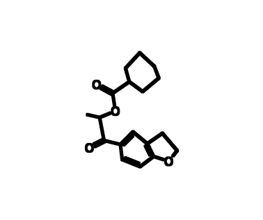 CC(OC(=O)C1CCCCC1)C(=O)c1ccc2c(c1)CCO2